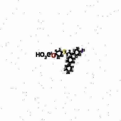 O=C(O)COc1ccc(SC/C=C(/c2ccc(I)cc2)c2ccc(-c3ccccc3)cc2)cc1